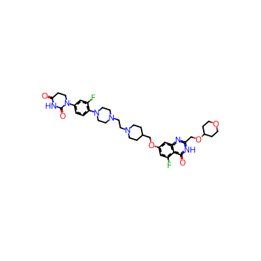 O=C1CCN(c2ccc(N3CCN(CCN4CCC(COc5cc(F)c6c(=O)[nH]c(COC7CCOCC7)nc6c5)CC4)CC3)c(F)c2)C(=O)N1